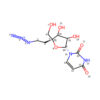 [N-]=[N+]=NCC[C@]1(CO)O[C@@H](n2ccc(=O)[nH]c2=O)C(O)C1O